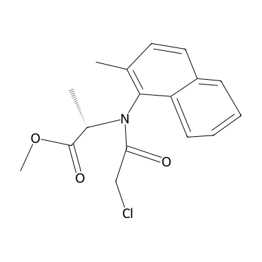 COC(=O)[C@H](C)N(C(=O)CCl)c1c(C)ccc2ccccc12